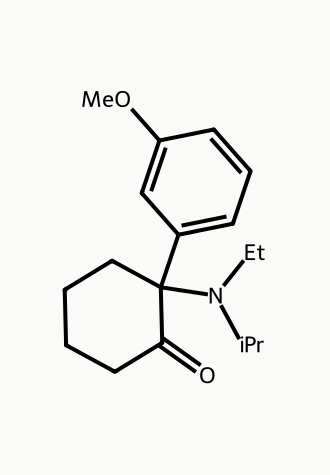 CCN(C(C)C)C1(c2cccc(OC)c2)CCCCC1=O